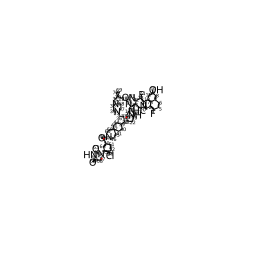 C#Cc1c(F)ccc2cc(O)cc(-c3ncc4c(N5CC6CCC(C5)N6)nc(OCC5(CN6CCN(CCCC7CCC8(CC7)CCN(C(=O)c7ccc(Cl)c(N9CCC(=O)NC9=O)c7)CC8)CC6)CC5)nc4c3F)c12